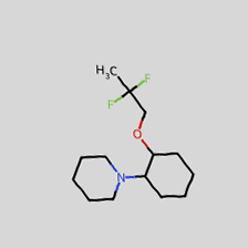 CC(F)(F)COC1CCCCC1N1CCCCC1